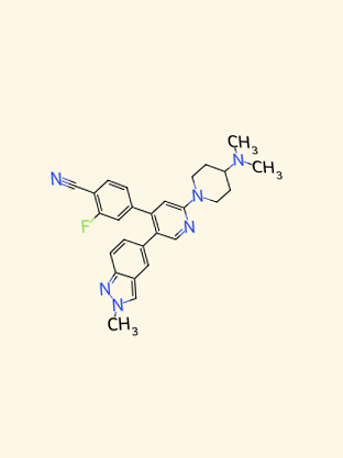 CN(C)C1CCN(c2cc(-c3ccc(C#N)c(F)c3)c(-c3ccc4nn(C)cc4c3)cn2)CC1